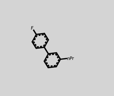 CCCc1cccc(-c2ccc(F)cc2)c1